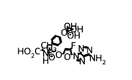 C[C@H](NP(=O)(CO[C@H]1C=C(F)[C@H](n2cnc3c(N)ncnc32)O1)Oc1ccccc1)C(=O)O.O=P(O)(O)O